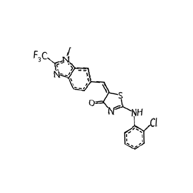 Cn1c(C(F)(F)F)nc2ccc(C=C3SC(Nc4ccccc4Cl)=NC3=O)cc21